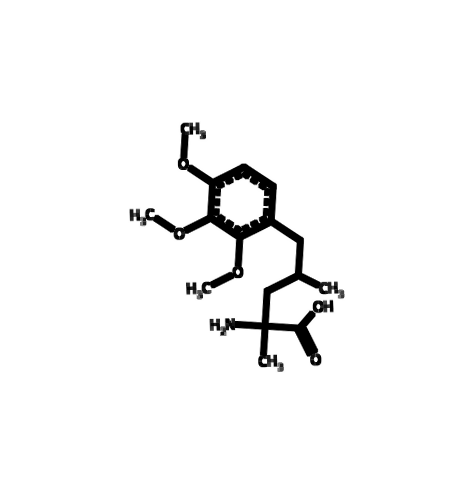 COc1ccc(CC(C)CC(C)(N)C(=O)O)c(OC)c1OC